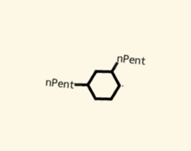 CCCCCC1[CH]CCC(CCCCC)C1